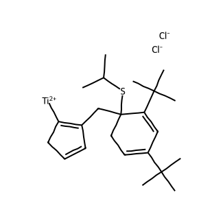 CC(C)SC1(CC2=[C]([Ti+2])CC=C2)CC=C(C(C)(C)C)C=C1C(C)(C)C.[Cl-].[Cl-]